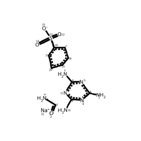 NC=O.Nc1nc(N)nc(N)n1.O=S(=O)([O-])c1ccccc1.[Na+]